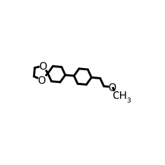 COCCC1CCC(C2CCC3(CC2)OCCO3)CC1